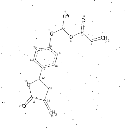 C=CC(=O)OC(CCC)Oc1ccc(C2CC(=C)C(=O)O2)cc1